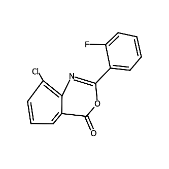 O=c1oc(-c2ccccc2F)nc2c(Cl)cccc12